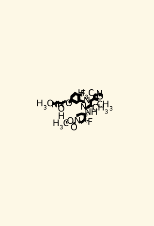 CNC[C@@H](O)COc1ccc(F)c(-c2nc(N[C@H]3CCN(C(=O)OC)C[C@H]3F)c(C)c(-c3c(C)noc3C)n2)c1